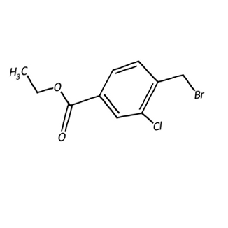 CCOC(=O)c1ccc(CBr)c(Cl)c1